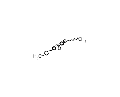 C=CCCCCCCCOc1ccc(C(=O)Oc2ccc(CC[C@H]3CC[C@H](CCC)CC3)cc2)cc1